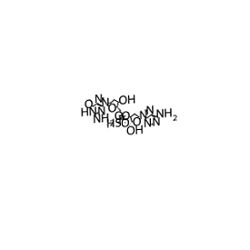 Nc1nc2c(ncn2[C@H]2C[C@@H](O)[C@@H](COP(=O)(S)O[C@@H]3C[C@H](n4cnc5c(N)ncnc54)O[C@@H]3CO)O2)c(=O)[nH]1